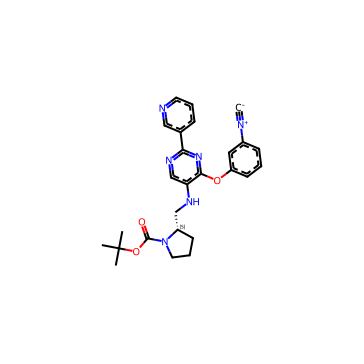 [C-]#[N+]c1cccc(Oc2nc(-c3cccnc3)ncc2NC[C@@H]2CCCN2C(=O)OC(C)(C)C)c1